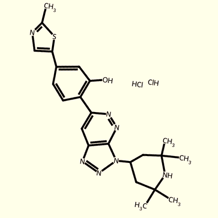 Cc1ncc(-c2ccc(-c3cc4nnn(C5CC(C)(C)NC(C)(C)C5)c4nn3)c(O)c2)s1.Cl.Cl